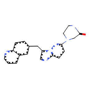 O=C1CN(c2ccc3ncc(Cc4ccc5ncccc5c4)n3n2)CCN1